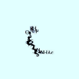 CC(=O)Nc1nc(CCc2ccc(CSC(=O)NN)s2)cs1